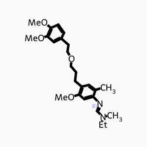 CCN(C)/C=N/c1cc(OC)c(CCCOCCc2ccc(OC)c(OC)c2)cc1C